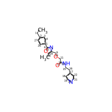 CCc1ccc(-c2nc(COCC(=O)NCCc3ccncc3)c(C)o2)cc1